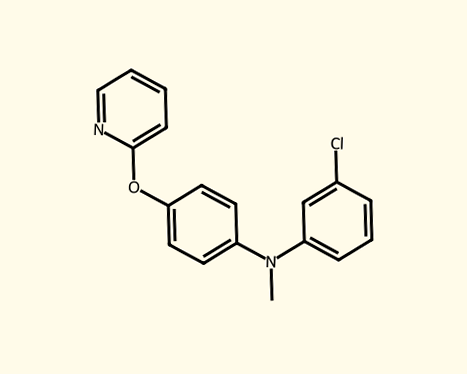 CN(c1ccc(Oc2ccccn2)cc1)c1cccc(Cl)c1